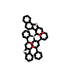 c1ccc(-c2ccc(N(c3ccccc3-c3ccc4c(c3)sc3ccccc34)c3cccc4oc5c6ccccc6ccc5c34)c(-c3ccccc3)c2)cc1